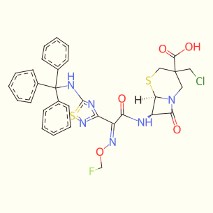 O=C(N[C@@H]1C(=O)N2CC(CCl)(C(=O)O)CS[C@H]12)C(=NOCF)c1nsc(NC(c2ccccc2)(c2ccccc2)c2ccccc2)n1